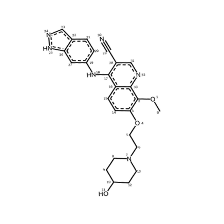 COc1c(OCCN2CCC(O)CC2)ccc2c(Nc3ccc4cn[nH]c4c3)c(C#N)cnc12